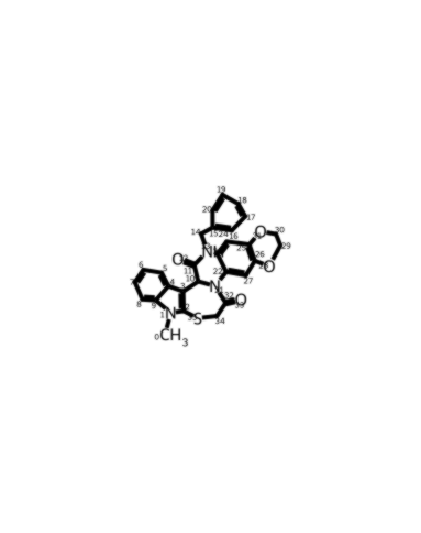 Cn1c2c(c3ccccc31)C(C(=O)NCc1ccccc1)N(c1ccc3c(c1)OCCO3)C(=O)CS2